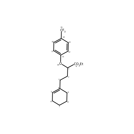 CCOC(=O)C(CCC1=CCCCC1)Oc1ccc(C(F)(F)F)cc1